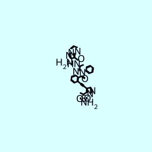 CC(NC(=O)c1c(N)nn2cccnc12)c1nc2cccc(C#Cc3cnn(C)c3C(C)S(N)(=O)=O)c2c(=O)n1-c1ccccc1